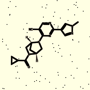 Cn1cc(-c2ncc(C#N)c(N3C[C@@H]4C[C@H]3CN4C(=O)C3CC3)n2)cn1